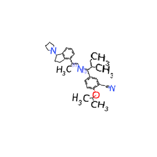 CCC(C)/C(=N\C=C(/C)c1cccc2c1CCC2N1CCCC1)c1ccc(OC(C)C)c(C#N)c1